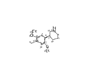 CCOc1cc([C@@H]2CCCNC2)c(OCC)cc1C